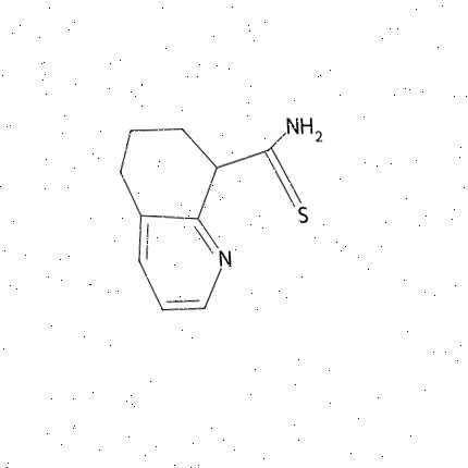 NC(=S)C1CCCc2cccnc21